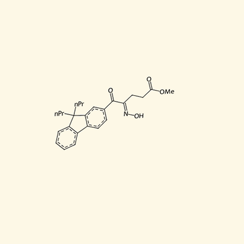 CCCC1(CCC)c2ccccc2-c2ccc(C(=O)C(CCC(=O)OC)=NO)cc21